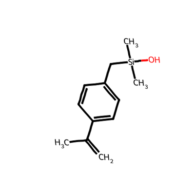 C=C(C)c1ccc(C[Si](C)(C)O)cc1